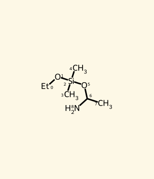 CCO[Si](C)(C)OC(C)N